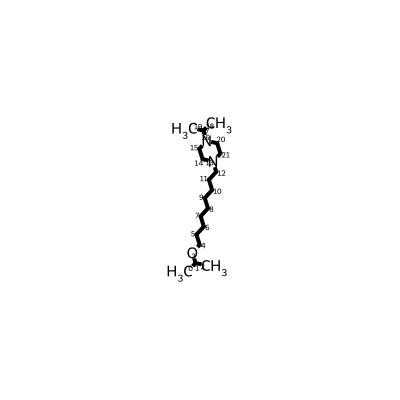 CC(C)OCCCCCCCCCN1CCN(C(C)C)CC1